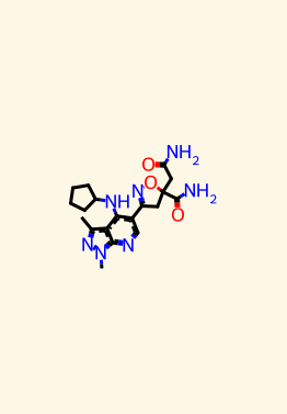 Cc1nn(C)c2ncc(C3=NOC(CC(N)=O)(C(N)=O)C3)c(NC3CCCC3)c12